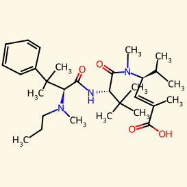 CCCN(C)[C@H](C(=O)N[C@H](C(=O)N(C)[C@H](/C=C(\C)C(=O)O)C(C)C)C(C)(C)C)C(C)(C)c1ccccc1